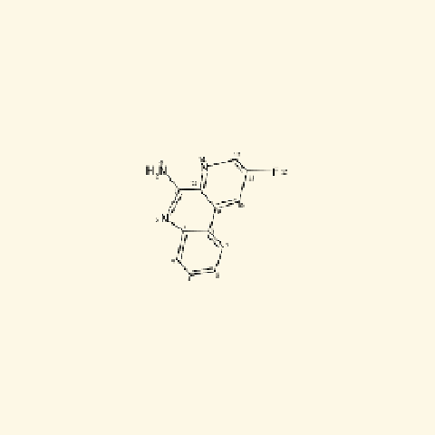 Nc1nc2ccccc2c2cc(F)cnc12